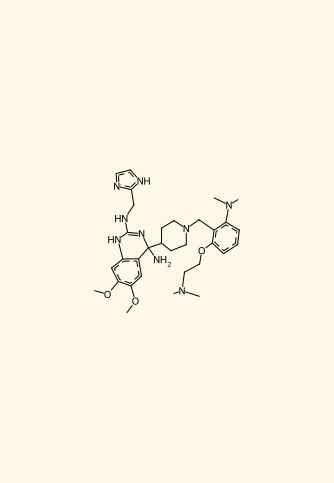 COc1cc2c(cc1OC)C(N)(C1CCN(Cc3c(OCCN(C)C)cccc3N(C)C)CC1)N=C(NCc1ncc[nH]1)N2